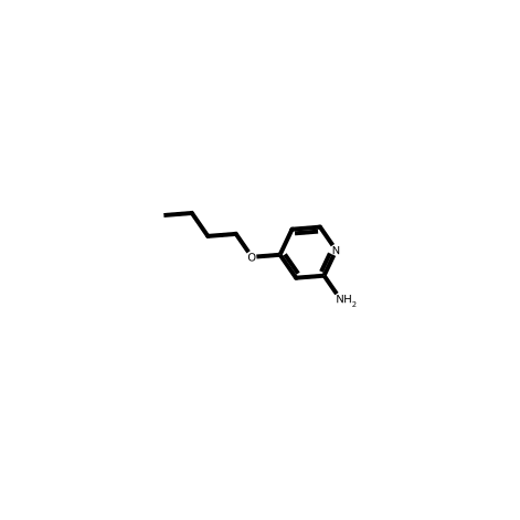 CCCCOc1ccnc(N)c1